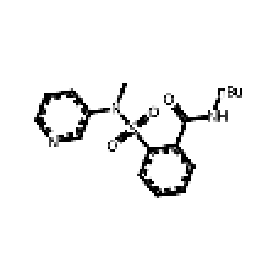 CCCCNC(=O)c1ccccc1S(=O)(=O)N(C)c1cccnc1